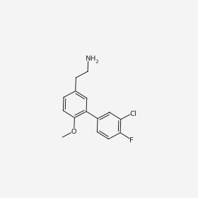 COc1ccc(CCN)cc1-c1ccc(F)c(Cl)c1